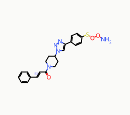 NOOSc1ccc(-c2cn(C3CCN(C(=O)/C=C/c4ccccc4)CC3)nn2)cc1